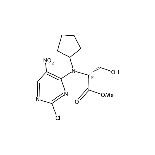 COC(=O)[C@@H](CO)N(c1nc(Cl)ncc1[N+](=O)[O-])C1CCCC1